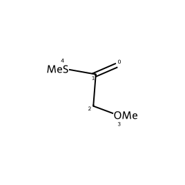 C=C(COC)SC